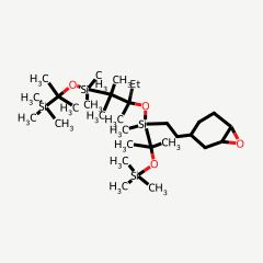 CCC(C)(O[Si](C)(CCC1CCC2OC2C1)C(C)(C)O[Si](C)(C)C)C(C)(C)[Si](C)(C)OC(C)(C)[Si](C)(C)C